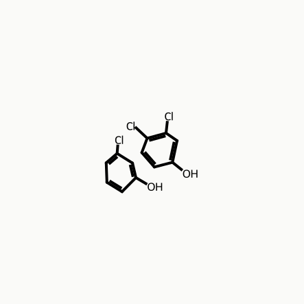 Oc1ccc(Cl)c(Cl)c1.Oc1cccc(Cl)c1